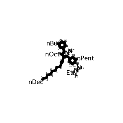 CCCCCCCCCCCCCCCCCCC#CC1=C(c2cccc(CCCCC)c2)[N+](=[N-])C(c2cccc(CCCC)c2)=C1CCCCCCCC.CC[N](C)[Ni][N](C)CC